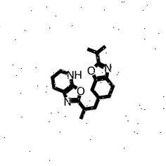 CC(C)c1nc2c(o1)CC(CC(C)c1nc3c(o1)NCCC3)CC2